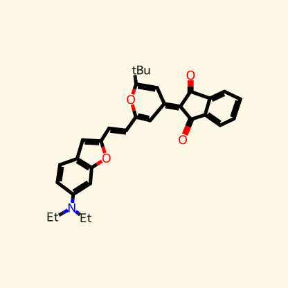 CCN(CC)c1ccc2cc(C=CC3=CC(=C4C(=O)c5ccccc5C4=O)C=C(C(C)(C)C)O3)oc2c1